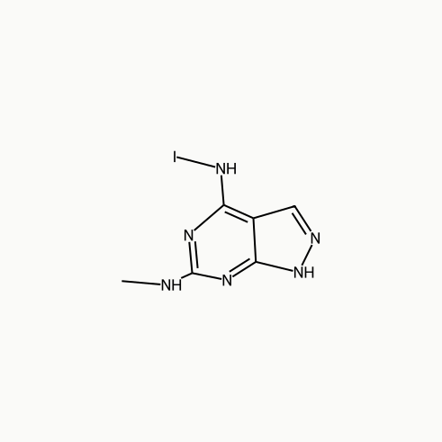 CNc1nc(NI)c2cn[nH]c2n1